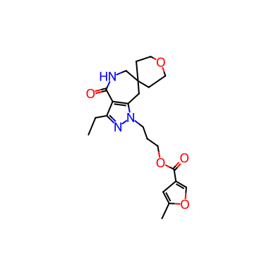 CCc1nn(CCCOC(=O)c2coc(C)c2)c2c1C(=O)NCC1(CCOCC1)C2